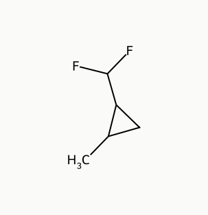 CC1CC1C(F)F